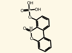 O=[PH]1Oc2ccccc2-c2cccc(OP(=O)(O)O)c21